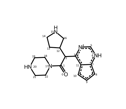 O=C(C(c1nc[nH]c2cccc1-2)C1CCNC1)N1CCNCC1